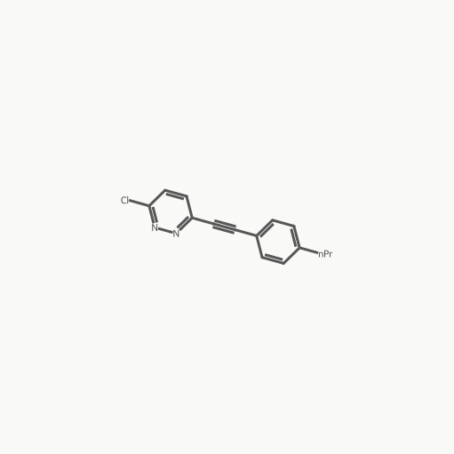 CCCc1ccc(C#Cc2ccc(Cl)nn2)cc1